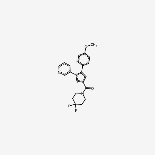 COc1ccc(-c2cc(C(=O)N3CCC(F)(F)CC3)nn2-c2cccnc2)nc1